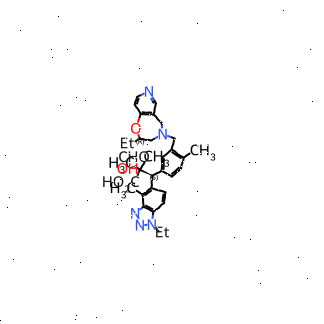 CC[C@@H]1CN(Cc2cc([C@@H](c3ccc4c(nnn4CC)c3C)C(C)(C)C(=O)O)ccc2C)Cc2cnccc2O1.O=CO